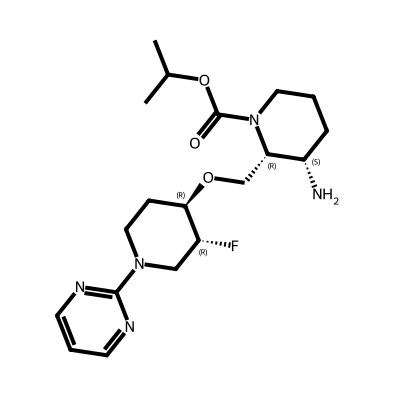 CC(C)OC(=O)N1CCC[C@H](N)[C@@H]1CO[C@@H]1CCN(c2ncccn2)C[C@H]1F